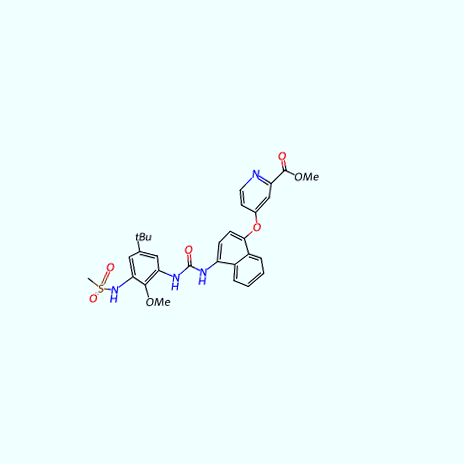 COC(=O)c1cc(Oc2ccc(NC(=O)Nc3cc(C(C)(C)C)cc(NS(C)(=O)=O)c3OC)c3ccccc23)ccn1